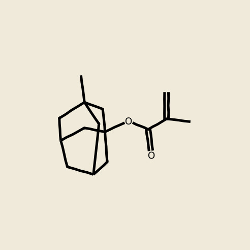 C=C(C)C(=O)OC12CC3CC(CC(C)(C3)C1)C2